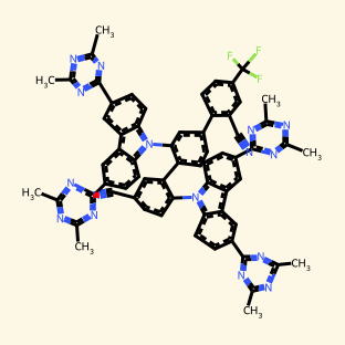 Cc1nc(C)nc(-c2ccc3c(c2)c2cc(-c4nc(C)nc(C)n4)ccc2n3-c2ccc(C#N)cc2-c2ccc(-c3ccc(C(F)(F)F)cc3C#N)cc2-n2c3ccc(-c4nc(C)nc(C)n4)cc3c3cc(-c4nc(C)nc(C)n4)ccc32)n1